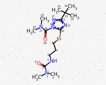 CN(C)C(=O)NCCCSc1nc(C(C)(C)C)nn1C(=O)N(C)C